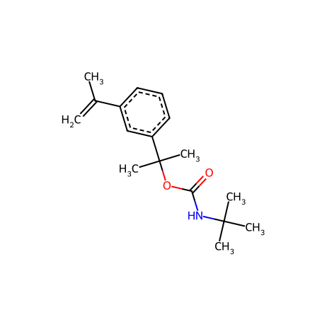 C=C(C)c1cccc(C(C)(C)OC(=O)NC(C)(C)C)c1